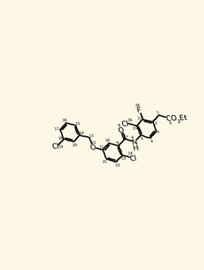 CCOC(=O)Cc1ccc(NC(=O)c2cc(OCc3cccc(Cl)c3)ccc2Cl)c(Cl)c1F